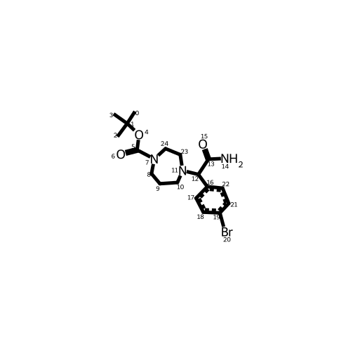 CC(C)(C)OC(=O)N1CCCN(C(C(N)=O)c2ccc(Br)cc2)CC1